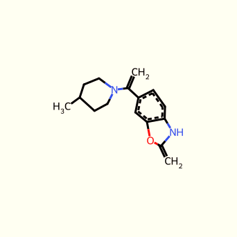 C=C1Nc2ccc(C(=C)N3CCC(C)CC3)cc2O1